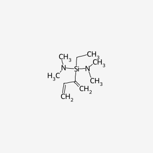 C=CC(=C)[Si](CC)(N(C)C)N(C)C